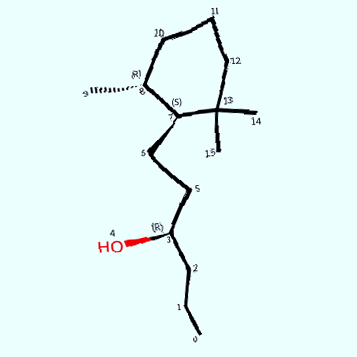 CCC[C@@H](O)CC[C@H]1[C@H](C)CCCC1(C)C